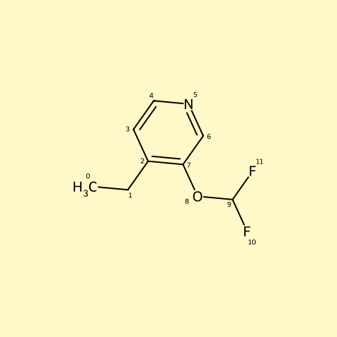 CCc1ccncc1OC(F)F